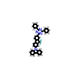 FC1(F)c2cc(-c3nc(-c4ccccc4)nc(-c4ccccc4)n3)ccc2-c2ccc(-n3c4ccccc4c4ccccc43)cc21